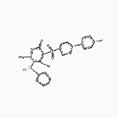 CCCCc1nc(=O)c(S(=O)(=O)c2ccc(-c3ccc(F)nc3)cc2)c(O)n1[C@@H](CC)c1ccccc1